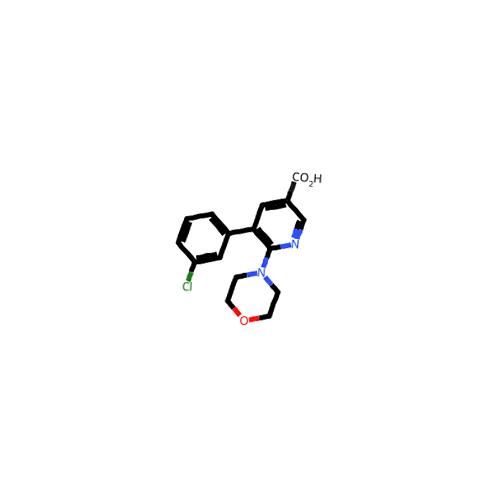 O=C(O)c1cnc(N2CCOCC2)c(-c2cccc(Cl)c2)c1